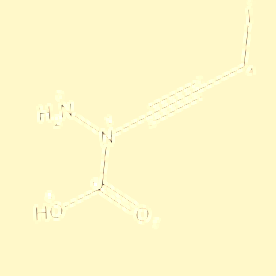 NN(C#CCI)C(=O)O